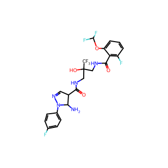 NC1C(C(=O)NCC(O)(CNC(=O)c2c(F)cccc2OC(F)F)C(F)(F)F)C=NN1c1ccc(F)cc1